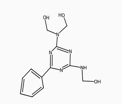 OCNc1nc(-c2ccccc2)nc(N(CO)CO)n1